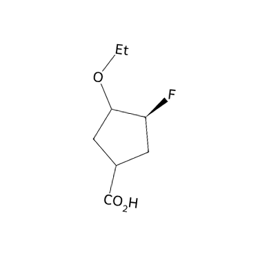 CCOC1CC(C(=O)O)C[C@@H]1F